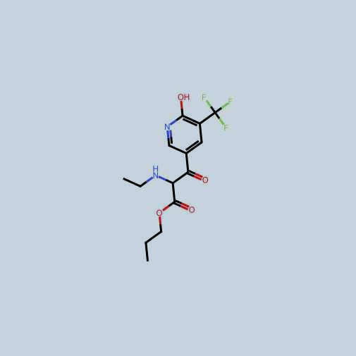 CCCOC(=O)C(NCC)C(=O)c1cnc(O)c(C(F)(F)F)c1